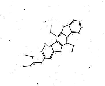 CCc1c2c(c(CC)c3c1-c1ccccc1C3)-c1ccc(CN(CC)CC)cc1C2